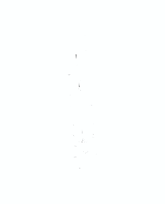 CCC(=O)C[C@H]1C[C@@H](N2CCC(c3cnc(N4C5CCC4CN(C(C)C)C5)nc3)CC2)C1